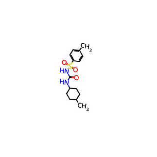 Cc1ccc(S(=O)(=O)NC(=O)NC2CCC(C)CC2)cc1